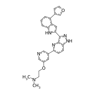 CN(C)CCOc1cncc(-c2ccc3[nH]nc(-c4cc5c(-c6ccoc6)cccc5[nH]4)c3n2)c1